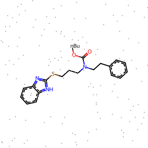 CCCCOC(=O)N(CCCSc1nc2ccccc2[nH]1)CCc1ccccc1